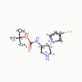 CC(C)(C)OC(=O)N[C@@H]1CNC[C@H]1n1ccc(F)c1